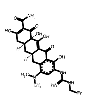 CC(C)CNC(=N)Nc1cc(N(C)C)c2c(c1O)C(=O)C1=C(O)[C@]3(O)C(=O)C(C(N)=O)=C(O)C[C@@H]3C[C@@H]1C2